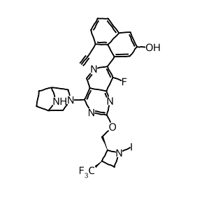 C#Cc1cccc2cc(O)cc(-c3ncc4c(N5CC6CCC(C5)N6)nc(OC[C@@H]5[C@H](C(F)(F)F)CN5I)nc4c3F)c12